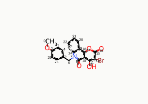 COc1ccc(Cn2c(=O)c3c(O)c(Br)c(=O)oc3c3ccccc32)cc1